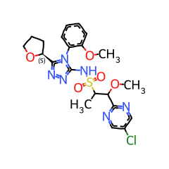 COc1ccccc1-n1c(NS(=O)(=O)C(C)C(OC)c2ncc(Cl)cn2)nnc1[C@@H]1CCCO1